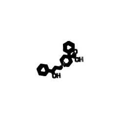 O=C(O)C1(c2ccccc2)CCN(CCC(O)c2ccccc2)CC1